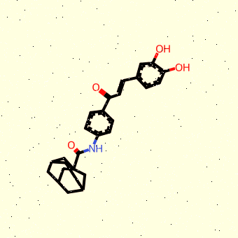 O=C(/C=C/c1ccc(O)c(O)c1)c1ccc(NC(=O)C23CC4CC(CC(C4)C2)C3)cc1